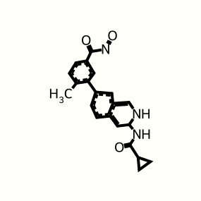 Cc1ccc(C(=O)N=O)cc1-c1ccc2c(c1)=CNC(NC(=O)C1CC1)C=2